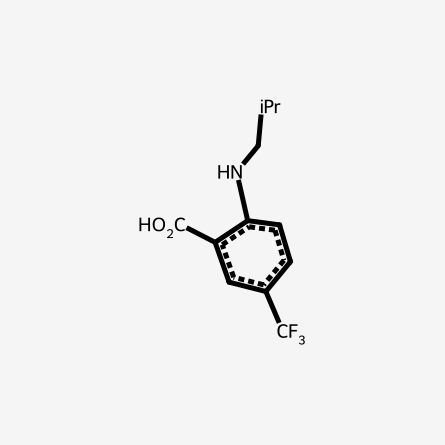 CC(C)CNc1ccc(C(F)(F)F)cc1C(=O)O